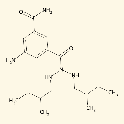 CCC(C)CNN(NCC(C)CC)C(=O)c1cc(N)cc(C(N)=O)c1